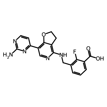 Nc1nccc(-c2cnc(NCc3cccc(C(=O)O)c3F)c3c2OCC3)n1